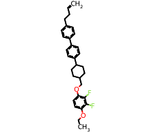 C=CCCc1ccc(-c2ccc(C3CCC(COc4ccc(OCC)c(F)c4F)CC3)cc2)cc1